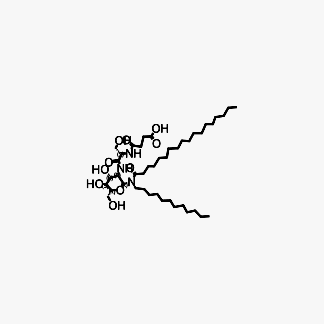 CCCCCCCCCCCCCCCCCC(=O)N(CCCCCCCCCCCC)[C@@H]1O[C@H](CO)[C@@H](O)[C@H](O)[C@H]1NC(=O)[C@H](CO)NC(=O)CCC(=O)O